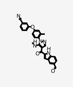 CNc1c(C(=O)c2cc3cc(C=O)ccc3[nH]2)cnn1-c1ccc(Oc2cccc(C#N)c2)cc1C